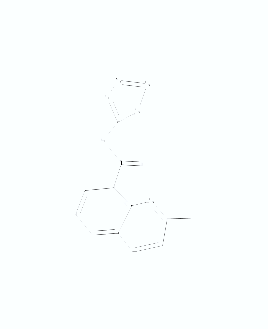 Cc1ccc2cccc(C(=O)Nc3nnn[nH]3)c2n1